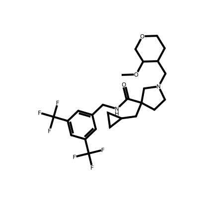 COC1COCCC1CN1CCC(CC2CC2)(C(=O)NCc2cc(C(F)(F)F)cc(C(F)(F)F)c2)C1